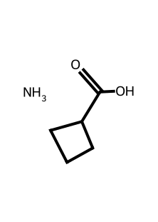 N.O=C(O)C1CCC1